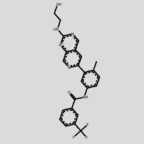 Cc1ccc(NC(=O)c2cccc(C(F)(F)F)c2)cc1-c1cc2cnc(NCCO)nc2cn1